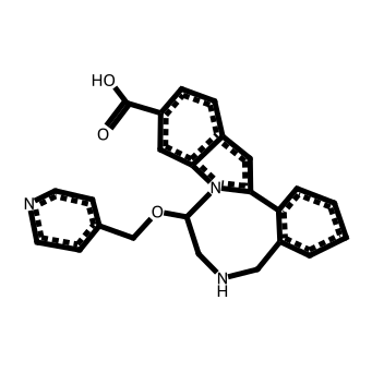 O=C(O)c1ccc2cc3n(c2c1)C(OCc1ccncc1)CNCc1ccccc1-3